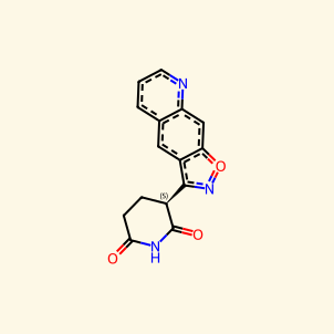 O=C1CC[C@@H](c2noc3cc4ncccc4cc23)C(=O)N1